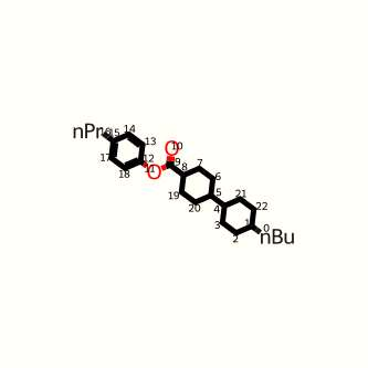 CCCCC1CCC(C2CCC(C(=O)Oc3ccc(CCC)cc3)CC2)CC1